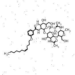 CCCCCC/C=C\CCCOc1cccc(C(=O)N[C@@H]2C(O[C@H]3C(O)C(NC(C)=O)C(OC4C(CO)O[C@@H](C)[C@@H](NC(C)=O)[C@H]4O)O[C@H]3CO)OC(CO)[C@@H](O)[C@@H]2O)c1